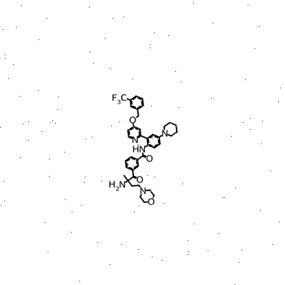 CC(N)(CCN1CCOCC1)C(=O)c1cccc(C(=O)Nc2ccc(N3CCCCC3)cc2-c2cc(OCc3cccc(C(F)(F)F)c3)ccn2)c1